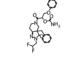 NC(=O)OC(COc1ccccc1)C(=O)N1CCC2=NN(CC(F)F)C(=O)C2(Cc2ccccc2)C1